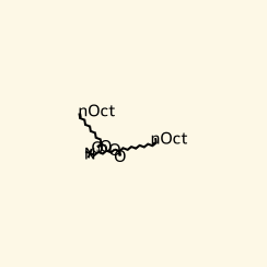 CCCCCCCC/C=C\CCCCCCCC(=O)OCC(CCC[N+](C)(C)C)OC(=O)CCCCCCC/C=C\CCCCCCCC